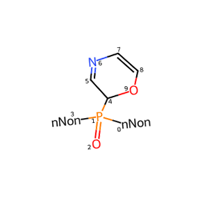 CCCCCCCCCP(=O)(CCCCCCCCC)C1C=NC=CO1